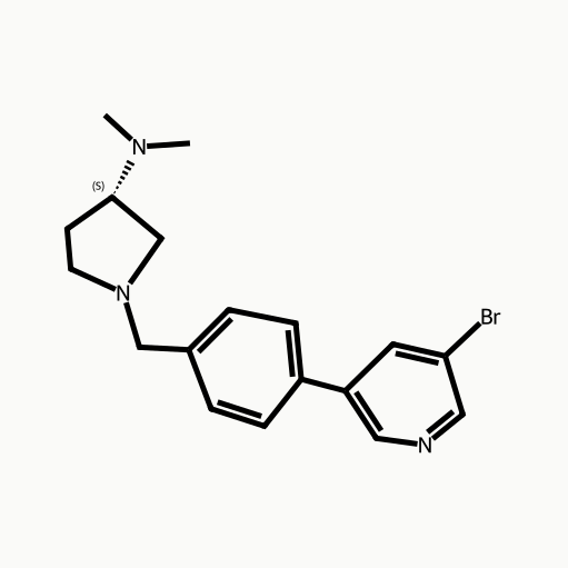 CN(C)[C@H]1CCN(Cc2ccc(-c3cncc(Br)c3)cc2)C1